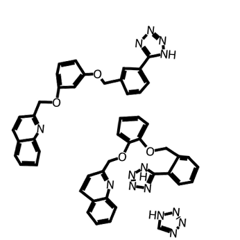 c1cc(OCc2cccc(-c3nnn[nH]3)c2)cc(OCc2ccc3ccccc3n2)c1.c1ccc(-c2nnn[nH]2)c(COc2ccccc2OCc2ccc3ccccc3n2)c1.c1nnn[nH]1